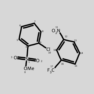 COS(=O)(=O)c1ccccc1Cl.O=[N+]([O-])c1cccc(C(F)(F)F)c1